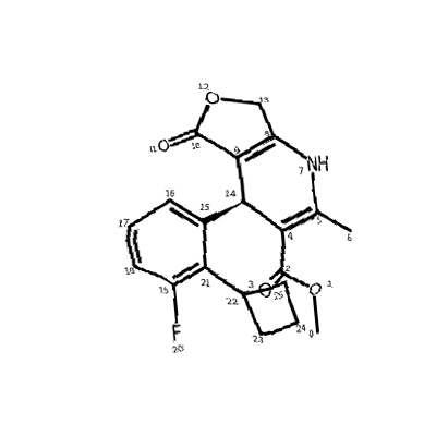 COC(=O)C1=C(C)NC2=C(C(=O)OC2)[C@@H]1c1cccc(F)c1C1CCC1